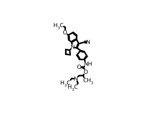 CCOc1ccc2c(C#N)c(-c3ccc(NC(=O)OC(C)CN(CC)CC)cc3)n(C3CCC3)c2c1